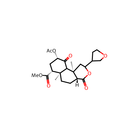 COC(=O)[C@@H]1C[C@H](OC(C)=O)C(=O)C2[C@@]1(C)CC[C@H]1C(=O)OC(C3CCOC3)C[C@]21C